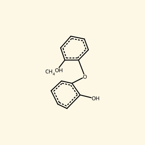 C.Oc1ccccc1Oc1ccccc1O